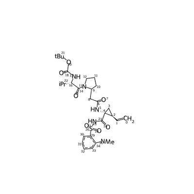 C=C[C@@H]1C[C@]1(NC(=O)CC1CCCN1C(=O)[C@@H](NC(=O)OC(C)(C)C)C(C)C)C(=O)NS(=O)(=O)c1ccccc1NC